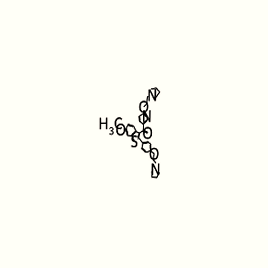 COc1ccc2c(C(=O)c3ccc(OCCN4CCCC4)nc3)c(-c3ccc(OCCN4CCCC4)cc3)sc2c1